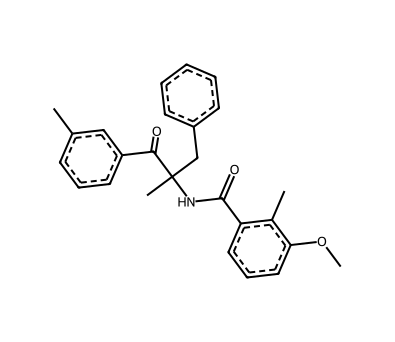 COc1cccc(C(=O)NC(C)(Cc2ccccc2)C(=O)c2cccc(C)c2)c1C